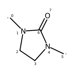 [CH2]N1CCN([CH2])C1=O